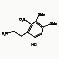 COc1ccc(CCN)c([N+](=O)[O-])c1OC.Cl